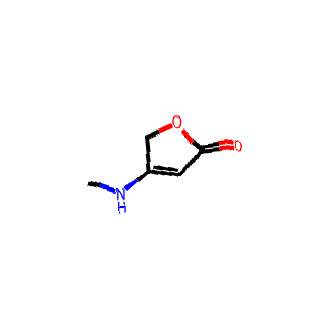 CNC1=CC(=O)OC1